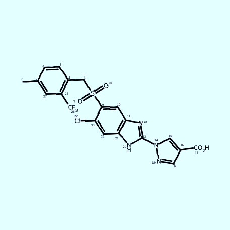 Cc1ccc(CS(=O)(=O)c2cc3nc(-n4cc(C(=O)O)cn4)[nH]c3cc2Cl)c(C(F)(F)F)c1